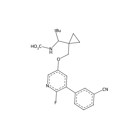 CC(C)(C)C(NC(=O)O)C1(COc2cnc(F)c(-c3cccc(C#N)c3)c2)CC1